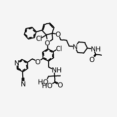 CC(=O)NC1CCN(CCCOC2(COc3cc(OCc4cncc(C#N)c4)c(CNC(C)(CO)C(=O)O)cc3Cl)C=CC=C(c3ccccc3)C2(C)Cl)CC1